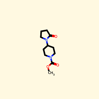 COC(=O)N1CCC(N2CCCC2=O)CC1